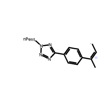 [CH2]/C=C(/C)c1ccc(-c2nnn(CCCCC)n2)cc1